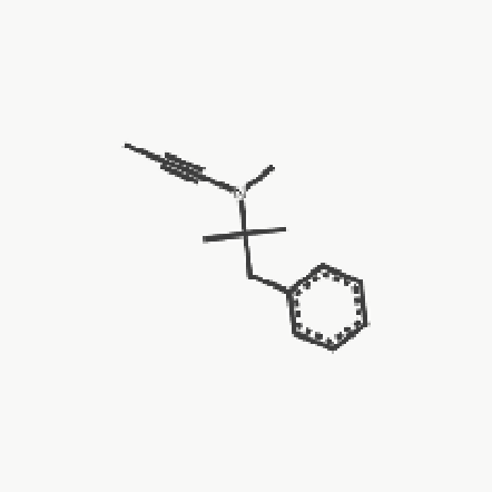 CC#CN(C)C(C)(C)Cc1ccccc1